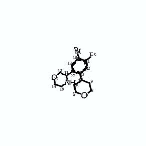 Fc1cc(C2CCOCC2)c(C2COCCN2)cc1Br